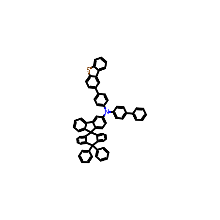 c1ccc(-c2ccc(N(c3ccc(-c4ccc5sc6ccccc6c5c4)cc3)c3ccc4c(c3)-c3ccccc3C43c4ccccc4C(c4ccccc4)(c4ccccc4)c4ccccc43)cc2)cc1